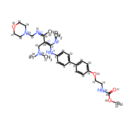 C=N/C(Nc1ccc(-c2ccc(OCCNC(=O)OC(C)(C)C)cc2)cc1)=C(CN(C)C(C)C)\C(C=O)=N/CN1CCOCC1